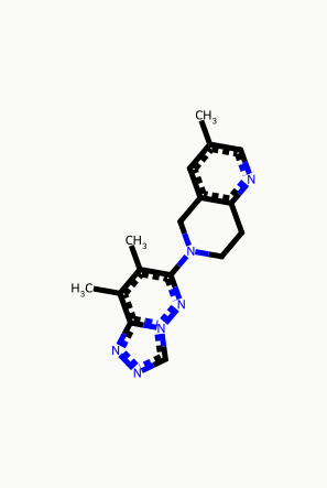 Cc1cnc2c(c1)CN(c1nn3cnnc3c(C)c1C)CC2